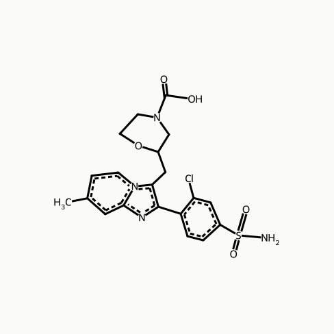 Cc1ccn2c(CC3CN(C(=O)O)CCO3)c(-c3ccc(S(N)(=O)=O)cc3Cl)nc2c1